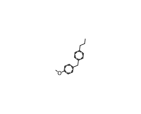 CCCc1ccc(Cc2ccc(OC)cc2)cc1